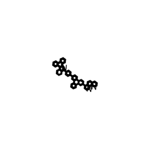 C1=Cc2c(c(-c3ccc(-c4ccc5c(c4)-c4ccccc4C4C=C(c6ccnc7c6ccc6cccnc67)C=CC54)cc3)nc3c4ccccc4c4ccccc4c23)CC1